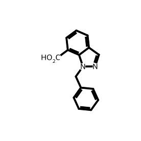 O=C(O)c1cccc2cnn(Cc3ccccc3)c12